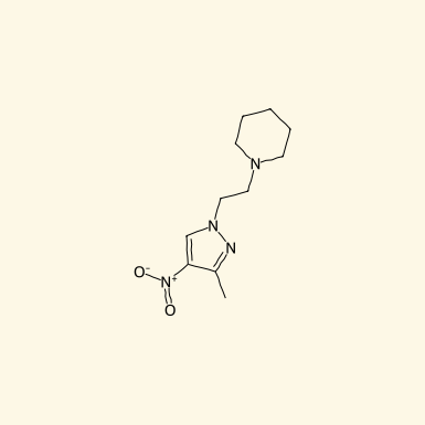 Cc1nn(CCN2CCCCC2)cc1[N+](=O)[O-]